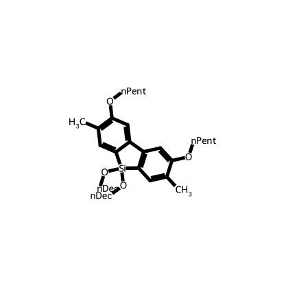 CCCCCCCCCCO[Si]1(OCCCCCCCCCC)c2cc(C)c(OCCCCC)cc2-c2cc(OCCCCC)c(C)cc21